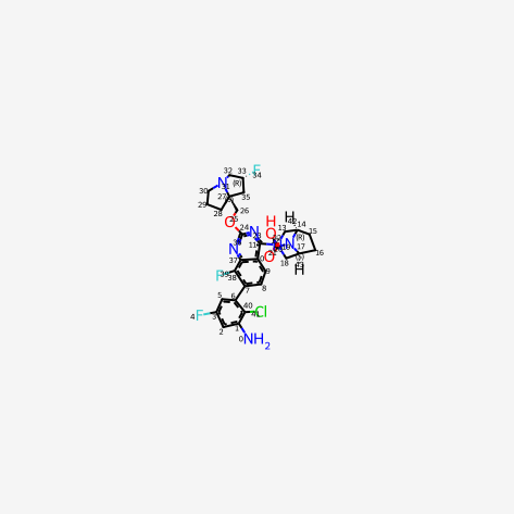 Nc1cc(F)cc(-c2ccc3c(N4C[C@H]5CC[C@@H](C4)N5C(=O)O)nc(OC[C@@]45CCCN4C[C@H](F)C5)nc3c2F)c1Cl